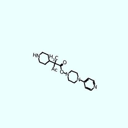 CC(=O)C(C)(C(=O)ON1CCN(c2ccncc2)CC1)C1CCNCC1